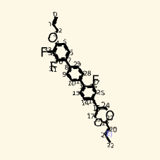 C=CCOc1ccc(-c2ccc(-c3ccc(C4COC(/C=C/C)OC4)cc3F)cc2)c(F)c1F